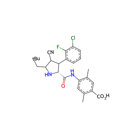 Cc1cc(C(=O)O)c(C)cc1NC(=O)[C@@H]1NC(CC(C)(C)C)C(C#N)C1c1cccc(Cl)c1F